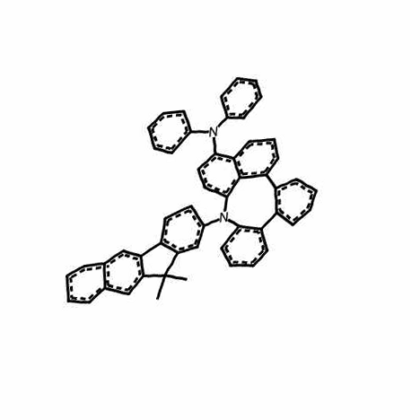 CC1(C)c2cc(N3c4ccccc4-c4ccccc4-c4cccc5c(N(c6ccccc6)c6ccccc6)ccc3c45)ccc2-c2cc3ccccc3cc21